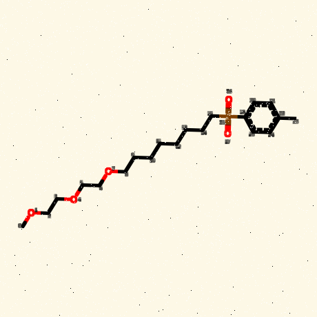 COCCOCCOCCCCCCCCS(=O)(=O)c1ccc(C)cc1